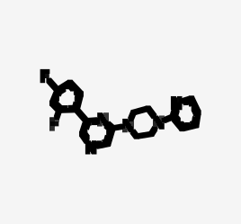 Fc1ccc(-c2cncc(N3CCN(c4ccccn4)CC3)n2)c(F)c1